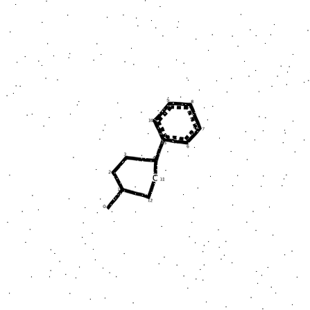 CC1CCC(c2ccccc2)CC1